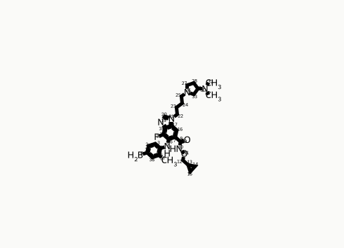 Bc1ccc(Nc2c(C(=O)NOCC3CC3)cc3c(ncn3CCCCN3CCC(N(C)C)C3)c2F)c(C)c1